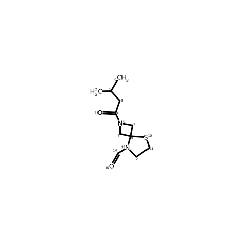 CC(C)CC(=O)N1CC2(C1)SCCN2C=O